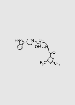 O=C(C=CN1CCC(O)(C(O)CN2CCC(c3c[nH]c4ccccc34)CC2)CC1)c1cc(C(F)(F)F)cc(C(F)(F)F)c1